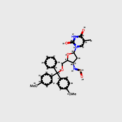 COc1ccc(C(OCC2OC(n3cc(C)c(=O)[nH]c3=O)C[C@H]2N=S=O)(c2ccccc2)c2ccc(OC)cc2)cc1